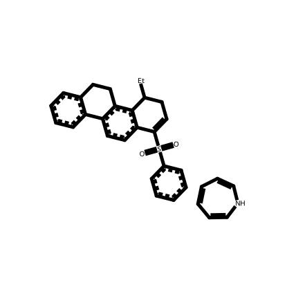 C1=CC=CNC=C1.CCC1CC=C(S(=O)(=O)c2ccccc2)c2ccc3c(c21)CCc1ccccc1-3